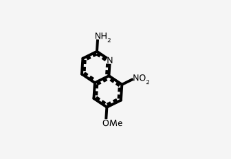 COc1cc([N+](=O)[O-])c2nc(N)ccc2c1